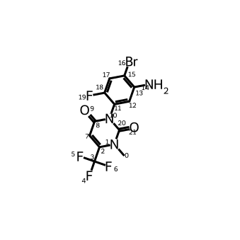 Cn1c(C(F)(F)F)cc(=O)n(-c2cc(N)c(Br)cc2F)c1=O